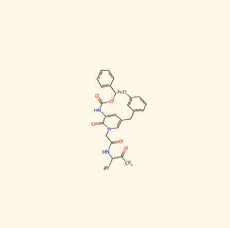 CC(=O)Oc1cccc(Cc2cc(NC(=O)OCc3ccccc3)c(=O)n(CC(=O)NC(C(=O)C(F)(F)F)C(C)C)c2)c1